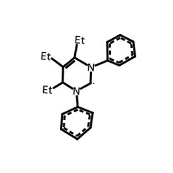 CCC1=C(CC)N(c2ccccc2)[CH]N(c2ccccc2)C1CC